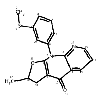 CSc1cccc(-n2c3c(c(=O)c4cccnc42)CC(C)O3)c1